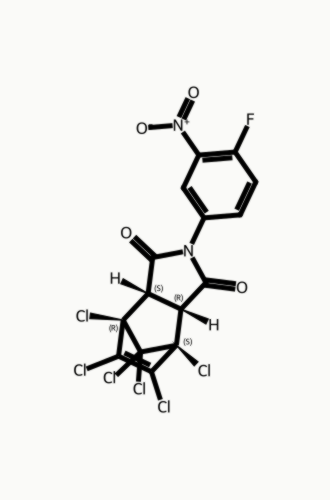 O=C1[C@@H]2[C@H](C(=O)N1c1ccc(F)c([N+](=O)[O-])c1)[C@]1(Cl)C(Cl)=C(Cl)[C@@]2(Cl)C1(Cl)Cl